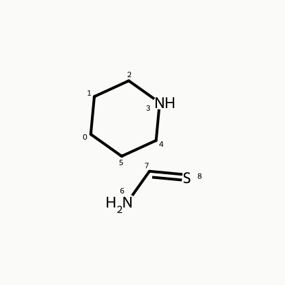 C1CCNCC1.NC=S